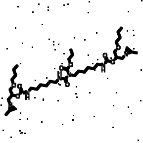 CCCCOCC(CN1CC1C)OC(=O)NCCCCCCNC(=O)N(CCCCCCNC(=O)OC(COCCCC)CN1CC1C)C(=O)OCCC